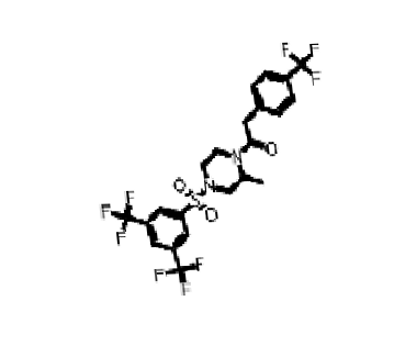 CC1CN(S(=O)(=O)c2cc(C(F)(F)F)cc(C(F)(F)F)c2)CCN1C(=O)Cc1ccc(C(F)(F)F)cc1